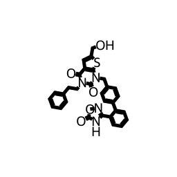 O=c1[nH]c(-c2ccccc2-c2ccc(Cn3c(=O)n(CCc4ccccc4)c(=O)c4cc(CO)sc43)cc2)no1